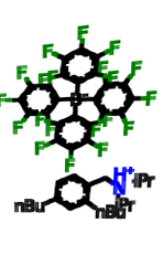 CCCCc1ccc(C[NH+](C(C)C)C(C)C)c(CCCC)c1.Fc1c(F)c(F)c([B-](c2c(F)c(F)c(F)c(F)c2F)(c2c(F)c(F)c(F)c(F)c2F)c2c(F)c(F)c(F)c(F)c2F)c(F)c1F